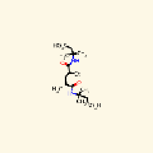 CCC(C[C@@H](C)C(=O)NC(C)(C)CS(=O)(=O)O)C(=O)NC(C)(C)CS(=O)(=O)O